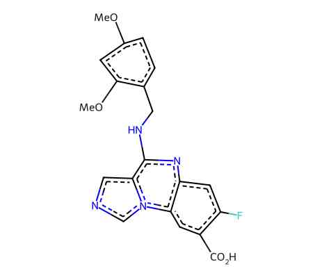 COc1ccc(CNc2nc3cc(F)c(C(=O)O)cc3n3cncc23)c(OC)c1